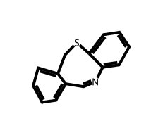 C1=Nc2ccccc2SCc2ccccc21